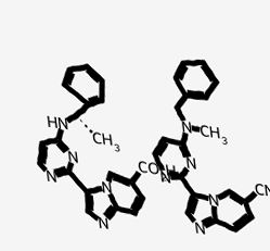 CN(Cc1ccccc1)c1ccnc(-c2cnc3ccc(C#N)cn23)n1.C[C@H](Nc1ccnc(-c2cnc3ccc(C(=O)O)cn23)n1)c1ccccc1